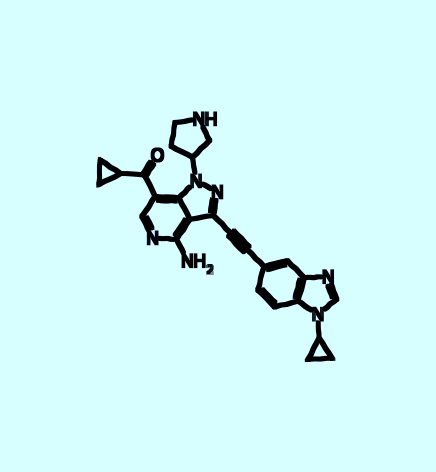 Nc1ncc(C(=O)C2CC2)c2c1c(C#Cc1ccc3c(c1)ncn3C1CC1)nn2C1CCNC1